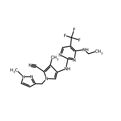 CCNc1nc(Nc2cn(Cc3ccn(C)n3)c(C#N)c2C)ncc1C(F)(F)F